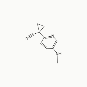 CNc1ccc(C2(C#N)CC2)nc1